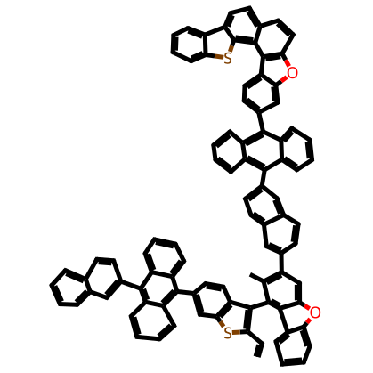 C=Cc1sc2cc(-c3c4ccccc4c(-c4ccc5ccccc5c4)c4ccccc34)ccc2c1-c1c(C)c(-c2ccc3cc(-c4c5ccccc5c(-c5ccc6c(c5)oc5ccc7ccc8c9ccccc9sc8c7c56)c5ccccc45)ccc3c2)cc2oc3ccccc3c12